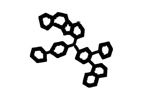 c1ccc(-c2ccc(N(c3ccc(-c4cccc5ccccc45)c(-c4ccccc4)c3)c3ccnc4c3oc3c5ccccc5ccc43)cc2)cc1